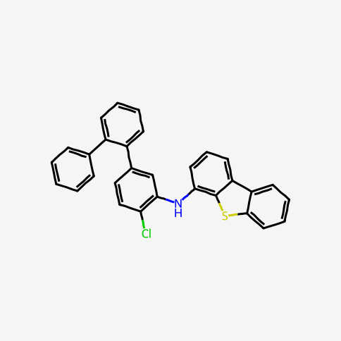 Clc1ccc(-c2ccccc2-c2ccccc2)cc1Nc1cccc2c1sc1ccccc12